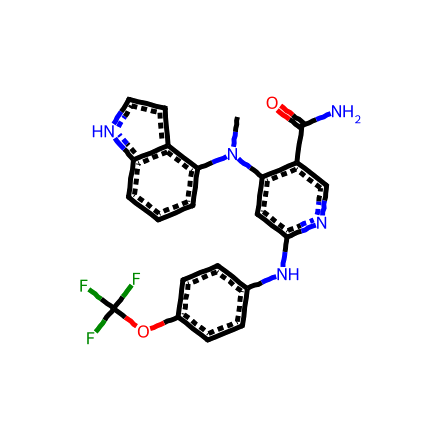 CN(c1cc(Nc2ccc(OC(F)(F)F)cc2)ncc1C(N)=O)c1cccc2[nH]ccc12